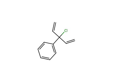 C=CC(Cl)(C=C)c1ccccc1